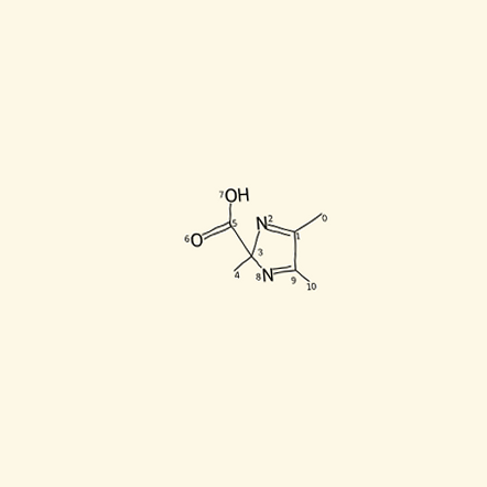 CC1=NC(C)(C(=O)O)N=C1C